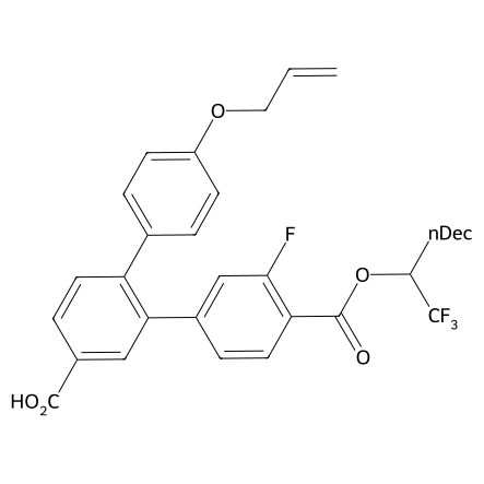 C=CCOc1ccc(-c2ccc(C(=O)O)cc2-c2ccc(C(=O)OC(CCCCCCCCCC)C(F)(F)F)c(F)c2)cc1